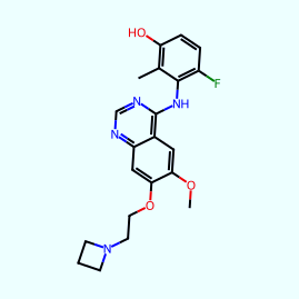 COc1cc2c(Nc3c(F)ccc(O)c3C)ncnc2cc1OCCN1CCC1